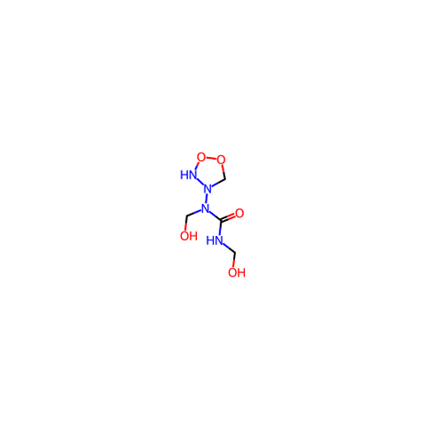 O=C(NCO)N(CO)N1COON1